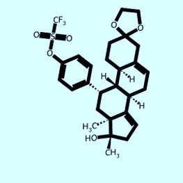 C[C@]1(O)CC=C2[C@@H]3CC=C4CC5(CC[C@@H]4[C@H]3[C@@H](c3ccc(OS(=O)(=O)C(F)(F)F)cc3)C[C@@]21C)OCCO5